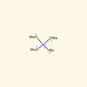 CCCC[N+](OC)(OC)OC